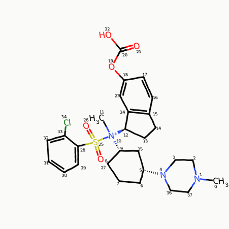 CN1CCN([C@@H]2CCC[C@H]([N+](C)([C@@H]3CCc4ccc(OC(=O)O)cc43)S(=O)(=O)c3ccccc3Cl)C2)CC1